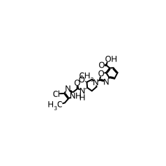 CCc1[nH]c(C(=O)N[C@H]2CCN(c3nc4cccc(C(=O)O)c4o3)C[C@H]2OC)nc1Cl